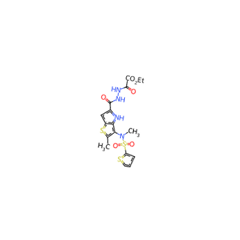 CCOC(=O)C(=O)NNC(=O)c1cc2sc(C)c(N(C)S(=O)(=O)c3cccs3)c2[nH]1